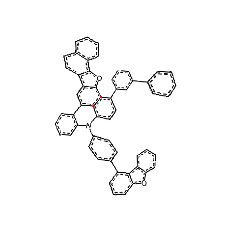 c1ccc(-c2cccc(-c3ccc(N(c4ccc(-c5cccc6oc7ccccc7c56)cc4)c4ccccc4-c4ccc5oc6c7ccccc7ccc6c5c4)cc3)c2)cc1